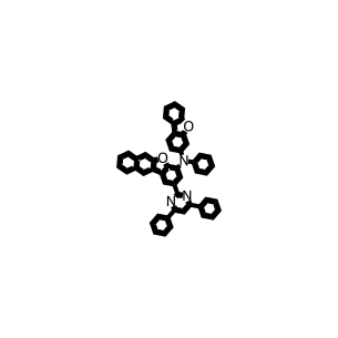 c1ccc(-c2cc(-c3ccccc3)nc(-c3cc(N(c4ccccc4)c4ccc5c(c4)oc4ccccc45)c4oc5cc6ccccc6cc5c4c3)n2)cc1